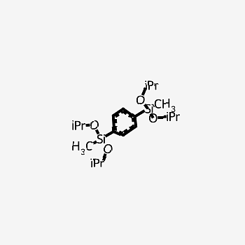 CC(C)O[Si](C)(OC(C)C)c1ccc([Si](C)(OC(C)C)OC(C)C)cc1